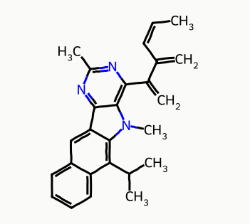 C=C(/C=C\C)C(=C)c1nc(C)nc2c3cc4ccccc4c(C(C)C)c3n(C)c12